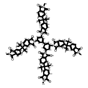 CN1C(=O)c2ccc(C(c3ccc4c(c3)C(=O)N(c3cc(-c5cc(N6C(=O)c7ccc(C(c8ccc9c(c8)C(=O)N(C)C9=O)(C(F)(F)F)C(F)(F)F)cc7C6=O)cc(N6C(=O)c7ccc(C(c8ccc9c(c8)C(=O)N(C)C9=O)(C(F)(F)F)C(F)(F)F)cc7C6=O)c5)cc(N5C(=O)c6ccc(C(c7ccc8c(c7)C(=O)N(C)C8=O)(C(F)(F)F)C(F)(F)F)cc6C5=O)c3)C4=O)(C(F)(F)F)C(F)(F)F)cc2C1=O